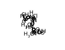 C[C@@H]1CN(c2ncc(Cl)c(Nc3ccc4c(c3)CC(=O)N4CC(C)(F)F)n2)CC[C@H]1Nc1ccc2c([C@@H]3CCC(=O)NC3=O)nn(C)c2c1